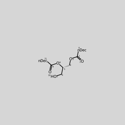 CCCCCCCCCCC(=O)OC[C@H](CO)OC(=O)CCCCCCCCCC